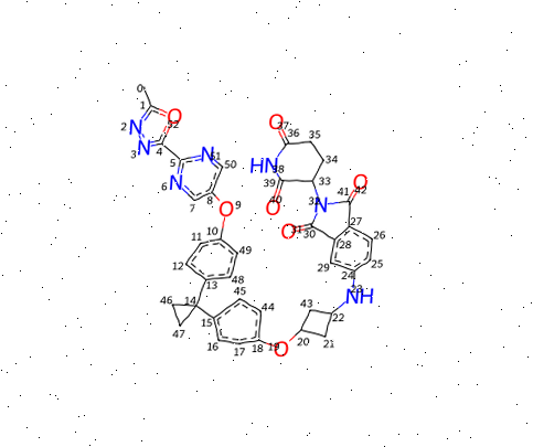 Cc1nnc(-c2ncc(Oc3ccc(C4(c5ccc(OC6CC(Nc7ccc8c(c7)C(=O)N(C7CCC(=O)NC7=O)C8=O)C6)cc5)CC4)cc3)cn2)o1